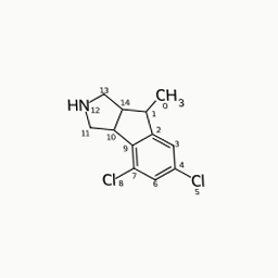 CC1c2cc(Cl)cc(Cl)c2C2CNCC12